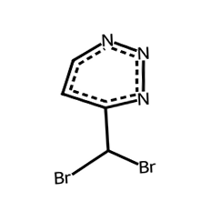 BrC(Br)c1ccnnn1